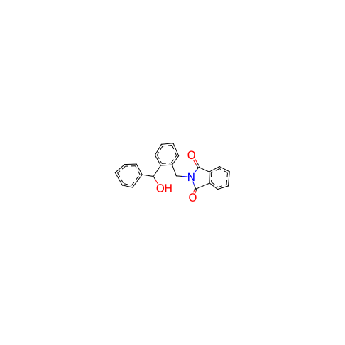 O=C1c2ccccc2C(=O)N1Cc1ccccc1C(O)c1ccccc1